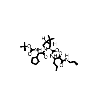 C=CCNC(=O)C(=O)C(CCC)NC(=O)[C@@H]1[C@H]2[C@@H](CN1C(=O)[C@@H](NC(=O)OC(C)(C)C)C1CCCC1)C2(C)C